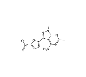 Cc1nc(N)c2c(-c3ccc([N+](=O)[O-])o3)nn(C)c2n1